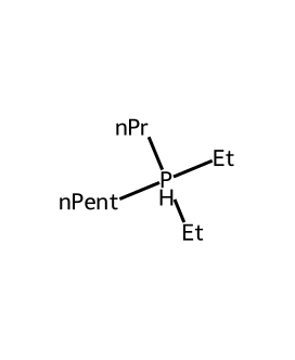 CCCCC[PH](CC)(CC)CCC